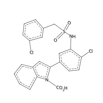 O=C(O)n1c(-c2ccc(Cl)c(NS(=O)(=O)Cc3cccc(Cl)c3)c2)cc2ccccc21